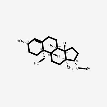 CCCO[C@H]1CC[C@H]2[C@@H]3CCC4=C[C@@H](O)CC[C@]4(CO)[C@H]3CC[C@]12C